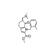 COC(=O)c1cc2c(n1Cc1ccccc1C)C(=O)C(=CN(C)C)CC2